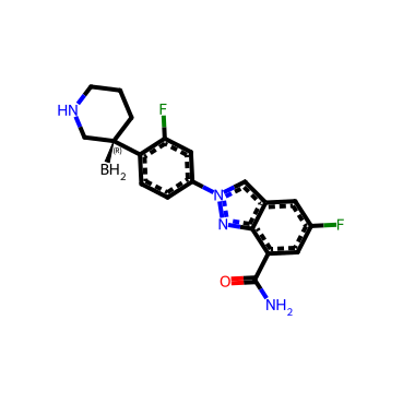 B[C@]1(c2ccc(-n3cc4cc(F)cc(C(N)=O)c4n3)cc2F)CCCNC1